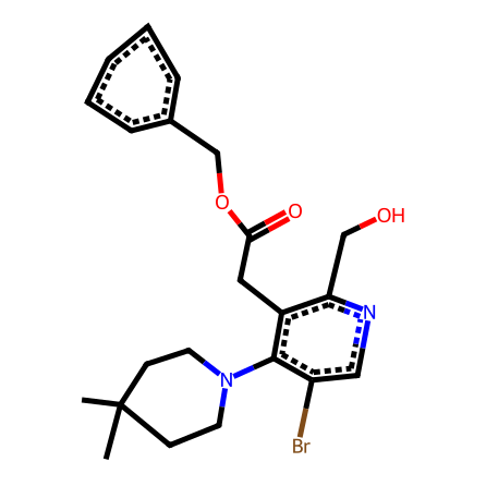 CC1(C)CCN(c2c(Br)cnc(CO)c2CC(=O)OCc2ccccc2)CC1